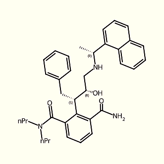 CCCN(CCC)C(=O)c1cccc(C(N)=O)c1[C@H](Cc1ccccc1)[C@@H](O)CN[C@H](C)c1cccc2ccccc12